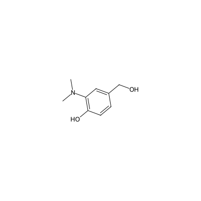 CN(C)c1cc(CO)ccc1O